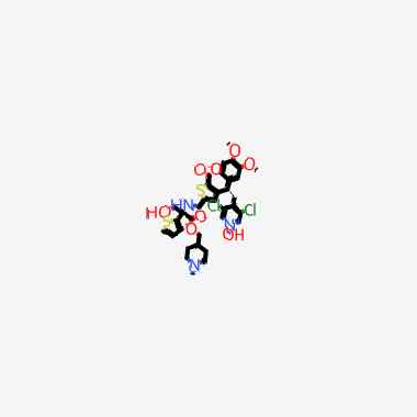 COc1ccc([C@H](Cc2c(Cl)c[n+](O)cc2Cl)c2cc(CNC(CO)(C(=O)OCC3CCN(C)CC3)c3cccs3)sc2C(=O)[O-])cc1OC